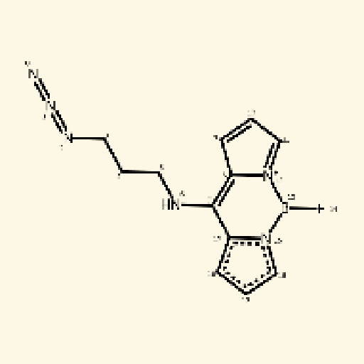 [N-]=[N+]=NCCCNC1=C2C=CC=[N+]2B(F)n2cccc21